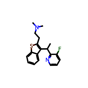 CC(c1ncccc1F)c1c(CCN(C)C)sc2ccccc12